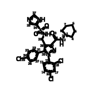 O=C(NN1CCCCC1)c1nn(-c2ccc(Cl)cc2Cl)c(-c2ccc(Cl)cc2)c1CNS(=O)(=O)c1cnc[nH]1